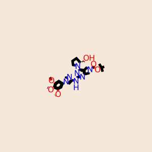 COc1cc(-n2cnc(Nc3nc4c(c(N5CCC[C@@H]5CO)n3)CN(C(=O)OC(C)(C)C)C4)c2)cc(OC)c1OC